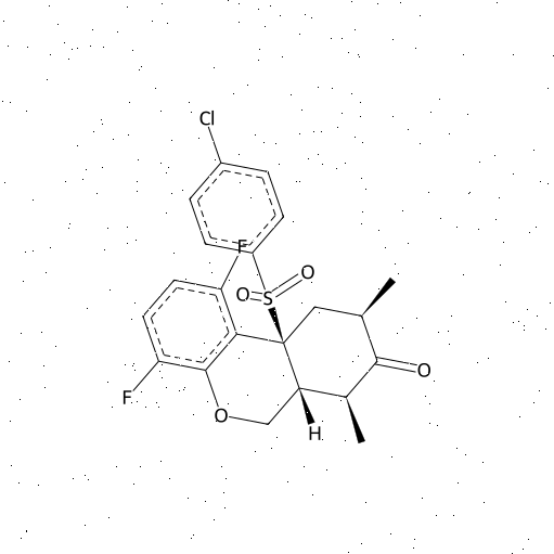 C[C@@H]1C[C@@]2(S(=O)(=O)c3ccc(Cl)cc3)c3c(F)ccc(F)c3OC[C@H]2[C@H](C)C1=O